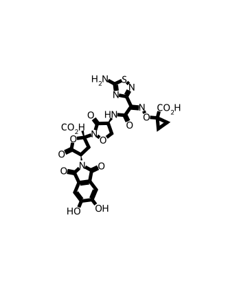 Nc1nc(/C(=N/OC2(C(=O)O)CC2)C(=O)N[C@H]2CON([C@]3(C(=O)O)C[C@H](N4C(=O)c5cc(O)c(O)cc5C4=O)C(=O)O3)C2=O)ns1